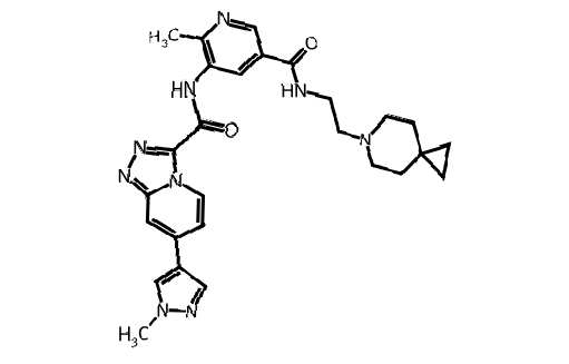 Cc1ncc(C(=O)NCCN2CCC3(CC2)CC3)cc1NC(=O)c1nnc2cc(-c3cnn(C)c3)ccn12